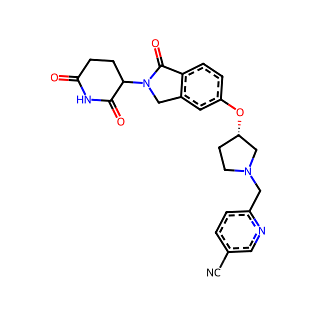 N#Cc1ccc(CN2CC[C@H](Oc3ccc4c(c3)CN(C3CCC(=O)NC3=O)C4=O)C2)nc1